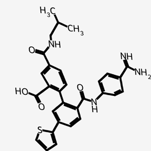 CC(C)CNC(=O)c1ccc(-c2cc(-c3cccs3)ccc2C(=O)Nc2ccc(C(=N)N)cc2)c(C(=O)O)c1